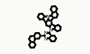 c1ccc2c(c1)ccc1ccc(-c3nc(-n4c5ccccc5c5c6c7ccc8ccccc8c7n7c8ccccc8c(cc54)c67)c4ccccc4n3)cc12